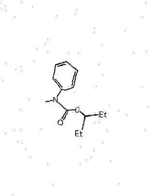 CCC(CC)OC(=O)N(C)c1ccccc1